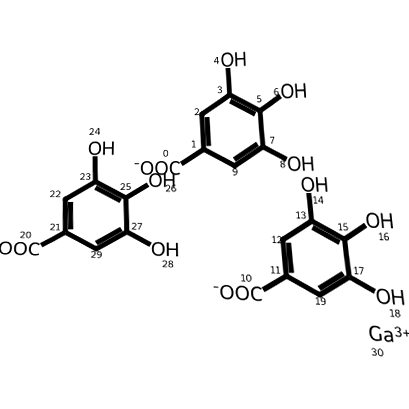 O=C([O-])c1cc(O)c(O)c(O)c1.O=C([O-])c1cc(O)c(O)c(O)c1.O=C([O-])c1cc(O)c(O)c(O)c1.[Ga+3]